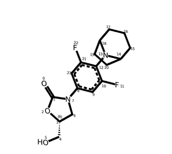 O=C1O[C@@H](CO)CN1c1cc(F)c(N2C3CCCC2CC3)c(F)c1